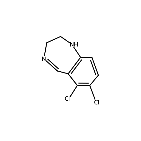 Clc1ccc2c(c1Cl)C=NCCN2